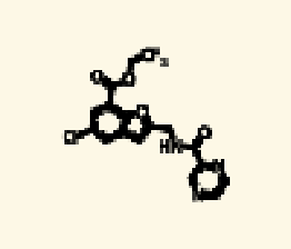 O=C(NCc1cc2cc(Cl)cc(C(=O)OCC(F)(F)F)c2o1)c1cnccn1